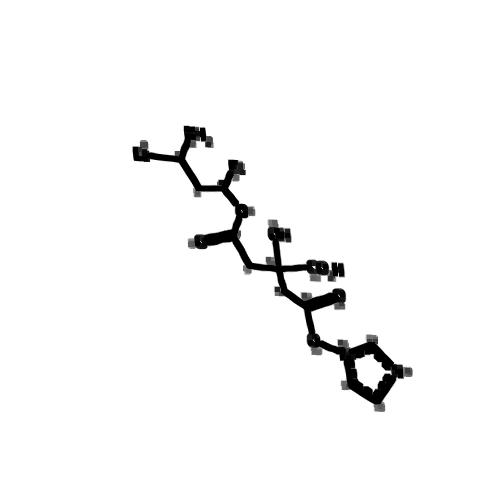 CCC(N)CC(CC)OC(=O)CC(O)(CC(=O)On1ccnc1)C(=O)O